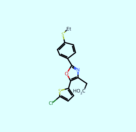 CCSc1ccc(-c2nc(CC(=O)O)c(-c3ccc(Cl)s3)o2)cc1